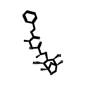 CC(=O)N[C@H]1[C@@H]2OC[C@@H](O2)[C@@H](O)[C@@H]1O[C@H](C)C(=O)N[C@@H](C)C(=O)OCc1ccccc1